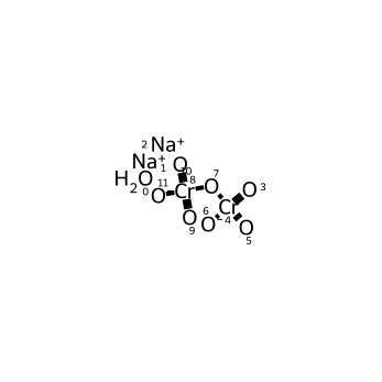 O.[Na+].[Na+].[O]=[Cr](=[O])([O-])[O][Cr](=[O])(=[O])[O-]